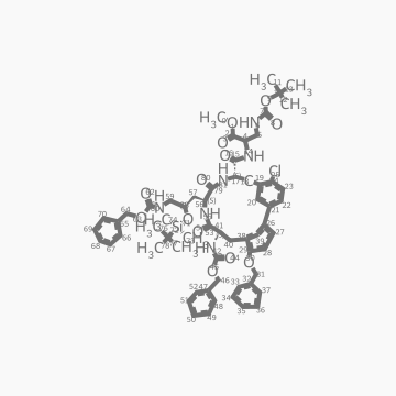 COC(=O)C(CNC(=O)OC(C)(C)C)NC(=O)[C@@H]1Cc2cc(ccc2Cl)-c2ccc(OCc3ccccc3)c(c2)C[C@H](NC(=O)OCc2ccccc2)C(=O)N[C@@H](C[C@H](CNC(=O)OCc2ccccc2)O[Si](C)(C)C(C)(C)C)C(=O)N1